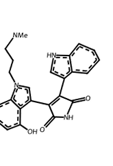 CNCCCn1cc(C2=C(c3c[nH]c4ccccc34)C(=O)NC2=O)c2c(O)cccc21